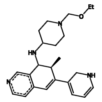 CCOCN1CCC(NC2c3cnccc3C=C(C3=CC=CNC3)[C@@H]2C)CC1